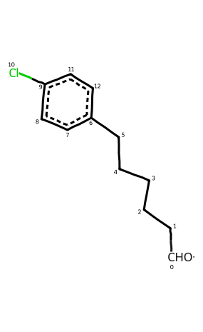 O=[C]CCCCCc1ccc(Cl)cc1